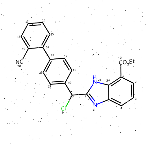 CCOC(=O)c1cccc2nc(C(Cl)c3ccc(-c4ccccc4C#N)cc3)[nH]c12